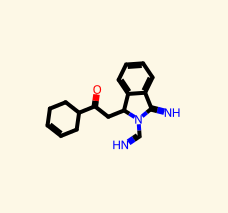 N=CN1C(=N)c2ccccc2C1CC(=O)C1CC=CCC1